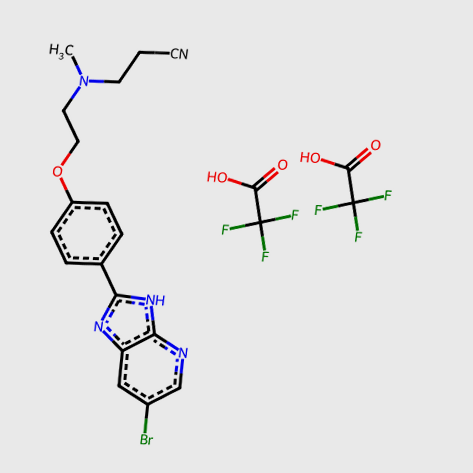 CN(CCC#N)CCOc1ccc(-c2nc3cc(Br)cnc3[nH]2)cc1.O=C(O)C(F)(F)F.O=C(O)C(F)(F)F